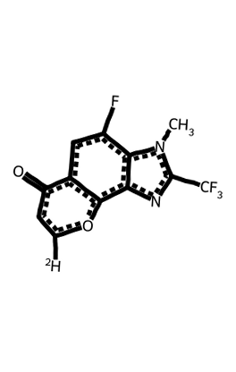 [2H]c1cc(=O)c2cc(F)c3c(nc(C(F)(F)F)n3C)c2o1